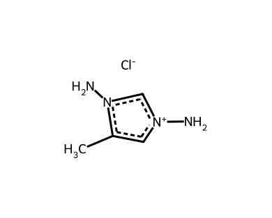 Cc1c[n+](N)cn1N.[Cl-]